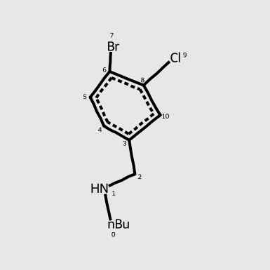 CCCCNCc1ccc(Br)c(Cl)c1